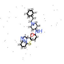 O=C(/C=C\C1=Cc2cnc3cccc(n23)S1)NC1CCN(CCc2ccccc2)CC1